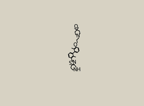 Cc1c(OCCCN2CCC3(CC2)COC3)cccc1-c1cccc(-c2nc3c(s2)CCNC3)c1C